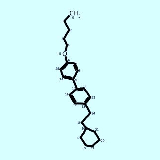 CCCCCOc1ccc(-c2ccc(CCC3CC[CH]CC3)cc2)cc1